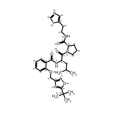 CC(C)C[C@@H](NC(=O)c1ccccc1OCc1noc(C(C)(C)C)n1)C(=O)N1CCC[C@@H]1C(=O)NCCc1cncs1